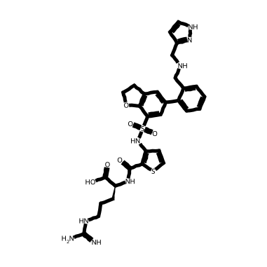 N=C(N)NCCC[C@H](NC(=O)c1sccc1NS(=O)(=O)c1cc(-c2ccccc2CNCc2cc[nH]n2)cc2c1OCC2)C(=O)O